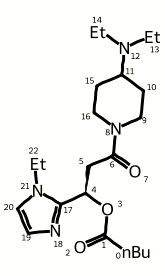 CCCCC(=O)O[C@H](CC(=O)N1CCC(N(CC)CC)CC1)c1nccn1CC